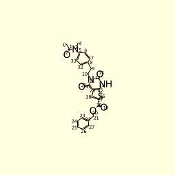 CC(=O)N(C)c1ccc(CCn2c(=O)[nH]c3sc(C(=O)OCc4ccccc4)cc3c2=O)cc1